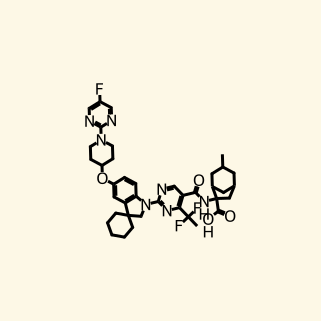 CC1CC2CC(C1)C(NC(=O)c1cnc(N3CC4(CCCCC4)c4cc(OC5CCN(c6ncc(F)cn6)CC5)ccc43)nc1C(C)(F)F)(C(=O)O)C2